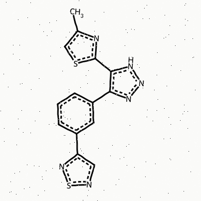 Cc1csc(-c2[nH]nnc2-c2cccc(-c3cnsn3)c2)n1